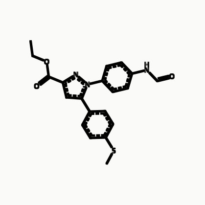 CCOC(=O)c1cc(-c2ccc(SC)cc2)n(-c2ccc(NC=O)cc2)n1